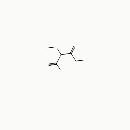 CNC(C(=O)O)C(=O)CCl